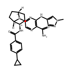 Cn1cc(Nc2nc(N3[C@H]4CC[C@@H](NC(=O)c5ccc(C6CC6)cc5)[C@@H]3CC4)cnc2C(N)=O)cn1